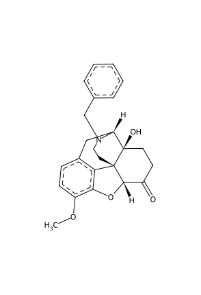 COc1ccc2c3c1O[C@H]1C(=O)CC[C@@]4(O)[C@@H](C2)N(Cc2ccccc2)CC[C@]314